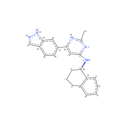 Cc1nc(N[C@@H]2CCCc3ccccc32)cc(-c2ccc3cn[nH]c3c2)n1